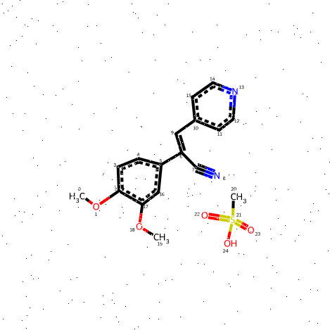 COc1ccc(/C(C#N)=C/c2ccncc2)cc1OC.CS(=O)(=O)O